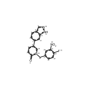 O=c1ccc(-c2ccc3cn[nH]c3c2)cn1Cc1ccc(F)c([N+](=O)[O-])c1